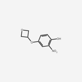 O=[N+]([O-])c1cc(OC2COC2)ccc1O